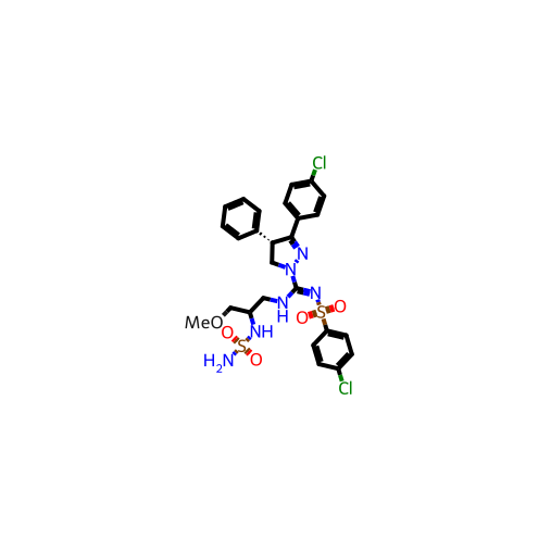 COCC(CN/C(=N\S(=O)(=O)c1ccc(Cl)cc1)N1C[C@H](c2ccccc2)C(c2ccc(Cl)cc2)=N1)NS(N)(=O)=O